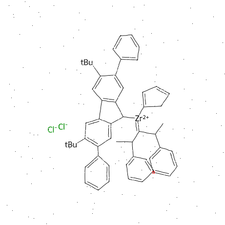 CC([C](C(C)c1ccccc1)=[Zr+2]([C]1=CC=CC1)[CH]1c2cc(-c3ccccc3)c(C(C)(C)C)cc2-c2cc(C(C)(C)C)c(-c3ccccc3)cc21)c1ccccc1.[Cl-].[Cl-]